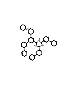 C1=CCCC(C2CCC=C(C3NC(C4=CC(C5CCCCC5)CCC4)NC(C4C=C(C5CCC[C@H](C6CCCCC6)C5)CC(C5CCCC(C6C=CCCC6)C5)C4)N3)C2)=C1